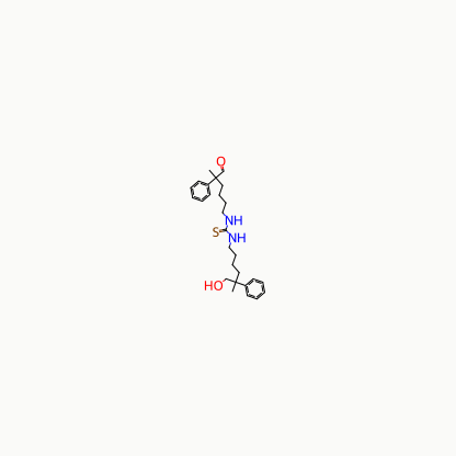 CC(C=O)(CCCCNC(=S)NCCCCC(C)(CO)c1ccccc1)c1ccccc1